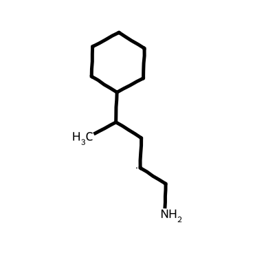 CC(C[CH]CN)C1CCCCC1